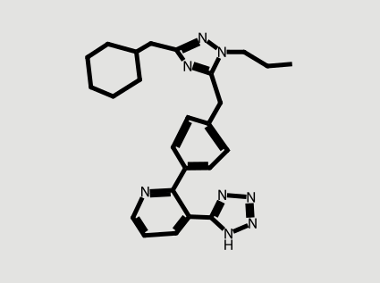 CCCn1nc(CC2CCCCC2)nc1Cc1ccc(-c2ncccc2-c2nnn[nH]2)cc1